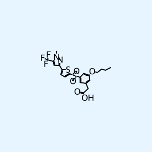 CCCCOc1cc(CC(=O)O)cc(S(=O)(=O)c2ccc(-c3cc(C(F)(F)F)n(C)n3)s2)c1